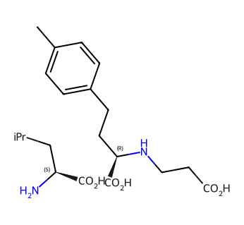 CC(C)C[C@H](N)C(=O)O.Cc1ccc(CC[C@@H](NCCC(=O)O)C(=O)O)cc1